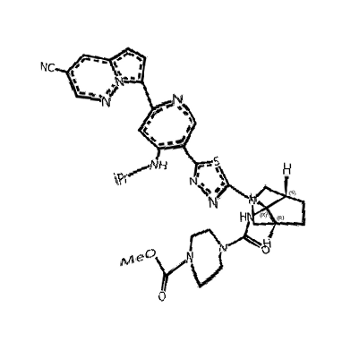 COC(=O)N1CCN(C(=O)N[C@H]2[C@@H]3CC[C@H]2CN(c2nnc(-c4cnc(-c5ccc6cc(C#N)cnn56)cc4NC(C)C)s2)C3)CC1